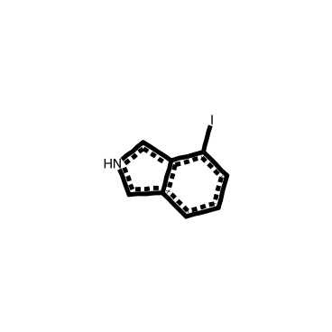 Ic1cccc2c[nH]cc12